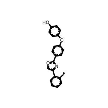 Oc1ccc(Oc2ccc(-c3nc(-c4ccccc4F)co3)cc2)cc1